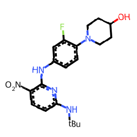 CC(C)(C)Nc1ccc([N+](=O)[O-])c(Nc2ccc(N3CCC(O)CC3)c(F)c2)n1